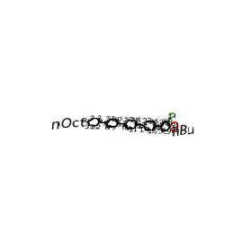 CCCCCCCCC1CCC(c2ccc(C3=CCC(C4CCC(c5ccc(OCCCC)c(F)c5)CC4)CC3)cc2)CC1